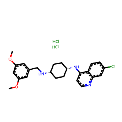 COc1cc(CN[C@H]2CC[C@@H](Nc3ccnc4cc(Cl)ccc34)CC2)cc(OC)c1.Cl.Cl